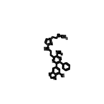 COCCn1ccc(NCCc2nc(-c3cc(Cl)c4ncsc4c3)c(-c3ccccc3)nc2N)n1